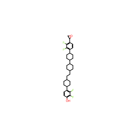 Oc1ccc(C2CCC(CCC3CCC(C4CCC(c5ccc(C6CO6)c(F)c5F)CC4)CC3)CC2)c(F)c1F